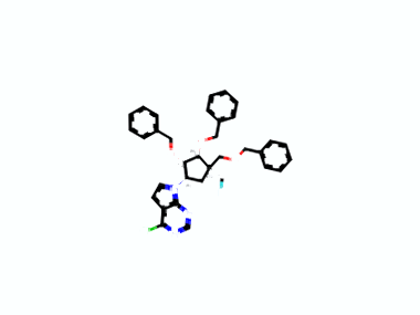 FC[C@]1(COCc2ccccc2)C[C@@H](n2ccc3c(Cl)ncnc32)[C@H](OCc2ccccc2)[C@@H]1OCc1ccccc1